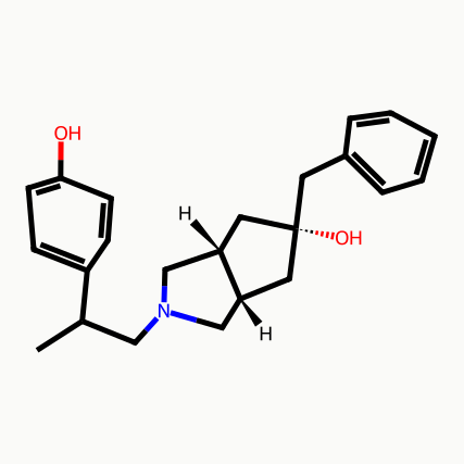 CC(CN1C[C@@H]2C[C@@](O)(Cc3ccccc3)C[C@@H]2C1)c1ccc(O)cc1